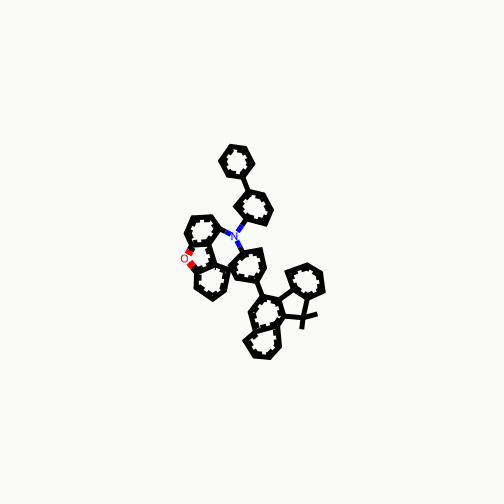 CC1(C)c2ccccc2-c2c(-c3ccc(N(c4cccc(-c5ccccc5)c4)c4cccc5oc6ccccc6c45)cc3)cc3ccccc3c21